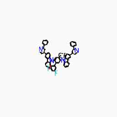 Fc1cc(F)cc(-c2cc(-n3c4ccccc4c4cc(-c5ccnc(-c6ccccc6)c5)ccc43)c(C(F)(F)F)cc2-n2c3ccccc3c3cc(-c4ccnc(-c5ccccc5)c4)ccc32)c1